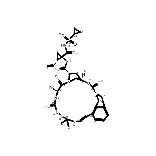 C=C[C@@H]1C[C@]1(NC(=O)[C@@H]1C[C@@H]2CN1C(=O)[C@H](C(C)C)NC(=O)OCC(C)(C)C/C=C/c1cccc3c1CN(C3)C(=O)O2)C(=O)NS(=O)(=O)C1CC1